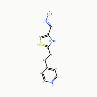 O/N=C/C1=C[SH]=C(CCc2ccncc2)N1